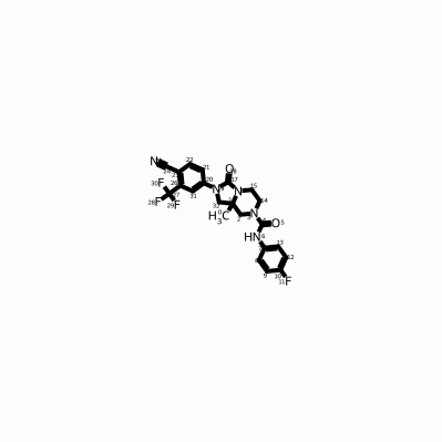 CC12CN(C(=O)Nc3ccc(F)cc3)CCN1C(=O)N(c1ccc(C#N)c(C(F)(F)F)c1)C2